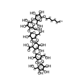 O=C(O)C1O[C@@H](O[C@@H]2C(CO)O[C@@H](O[C@@H]3C(CO)O[C@H](O[C@H]4C(CO)O[C@H](OCCCCCI)C(O)[C@H]4O)C(O)[C@H]3O)[C@@H](O)C2O)[C@@H](O)C(O)[C@@H]1O[C@H]1OC(CO)[C@H](O[C@H]2OC(CO)[C@@H](O)[C@H](O)C2O)[C@H](O)C1O